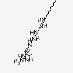 CCCCCCCCCCCCNCCNCCNCCNCCNCC[N+](C)(C)C(NC(=N)N)C(C)C